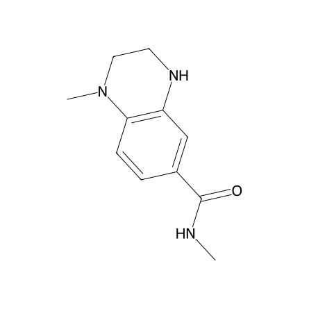 CNC(=O)c1ccc2c(c1)NCCN2C